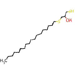 CCCCCCCCCCCCCCCCCCSCC(O)CS